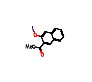 COC(=O)c1cc2ccccc2cc1OI